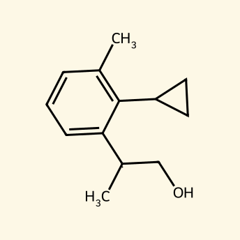 C[C](CO)c1cccc(C)c1C1CC1